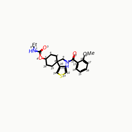 CCNC(=O)OC1CCC(CNC(=O)c2ccccc2OC)(c2ccsc2)CC1